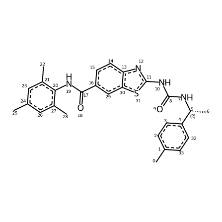 Cc1ccc([C@@H](C)NC(=O)Nc2nc3ccc(C(=O)Nc4c(C)cc(C)cc4C)cc3s2)cc1